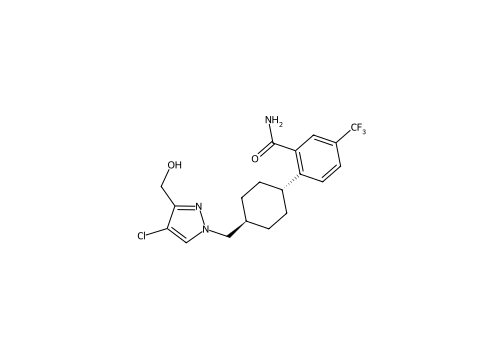 NC(=O)c1cc(C(F)(F)F)ccc1[C@H]1CC[C@H](Cn2cc(Cl)c(CO)n2)CC1